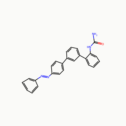 NC(=O)Nc1ccccc1-c1cc[c]c(-c2ccc(N=Nc3ccccc3)cc2)c1